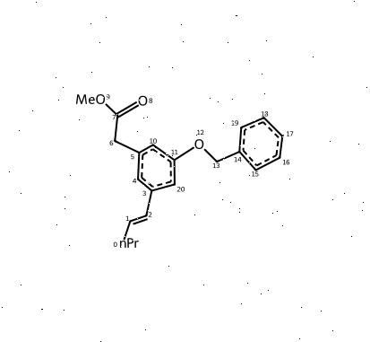 CCCC=Cc1cc(CC(=O)OC)cc(OCc2ccccc2)c1